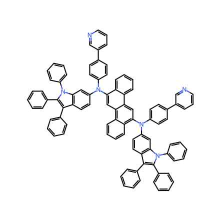 c1ccc(-c2c(-c3ccccc3)n(-c3ccccc3)c3cc(N(c4ccc(-c5cccnc5)cc4)c4cc5c6ccccc6c(N(c6ccc(-c7cccnc7)cc6)c6ccc7c(-c8ccccc8)c(-c8ccccc8)n(-c8ccccc8)c7c6)cc5c5ccccc45)ccc23)cc1